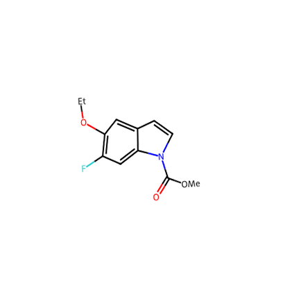 CCOc1cc2ccn(C(=O)OC)c2cc1F